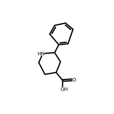 O=C(O)C1CCNC(c2ccccc2)C1